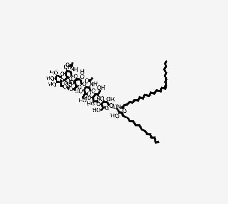 CCCCCCCC/C=C\CCCCCCCCCCCCCCCC(=O)N[C@@H](CO[C@@H]1OC(CO)[C@@H](O[C@@H]2OC(CO)[C@H](O[C@@H]3OC(CO)[C@H](O)[C@H](O[C@@H]4OC(CO)[C@H](O)[C@H](O[C@@H]5OC(CO)[C@H](O[C@@H]6OC(CO)[C@H](O)[C@H](O)C6O)[C@H](O)C5NC(C)=O)C4O)C3NC(C)=O)[C@H](O)C2O)[C@H](O)C1O)[C@H](O)/C=C/CCCCCCCCCCCCC